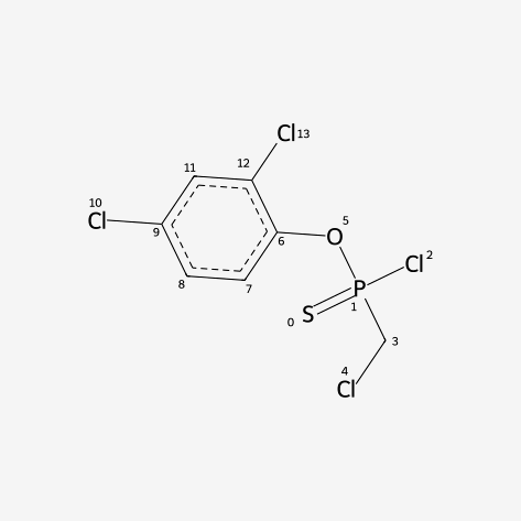 S=P(Cl)(CCl)Oc1ccc(Cl)cc1Cl